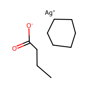 C1CCCCC1.CCCC(=O)[O-].[Ag+]